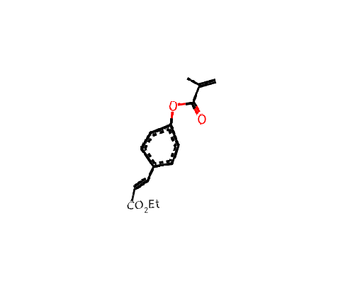 C=C(C)C(=O)Oc1ccc(C=CC(=O)OCC)cc1